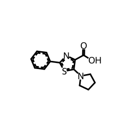 O=C(O)c1nc(-c2ccccc2)sc1N1CCCC1